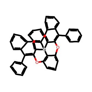 c1ccc(-c2c3c(cc4ccccc24)[Si]2(c4ccccc4)c4cc5ccccc5c(-c5ccccc5)c4Oc4cccc(c42)O3)cc1